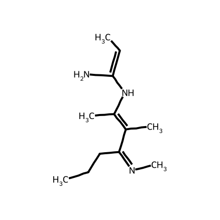 C/C=C(\N)N/C(C)=C(C)/C(CCC)=N\C